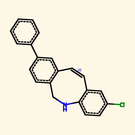 Clc1ccc2c(c1)/C=C\c1cc(-c3ccccc3)ccc1CN2